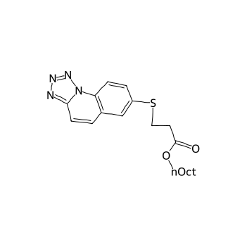 CCCCCCCCOC(=O)CCSc1ccc2c(ccc3nnnn32)c1